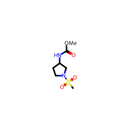 COC(=O)NC1CCN(S(C)(=O)=O)C1